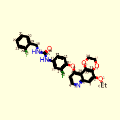 CCOc1cc2nccc(Oc3ccc(NC(=O)NCc4ccccc4F)cc3F)c2c2c1OCCO2